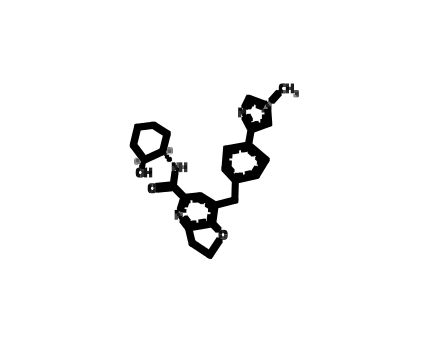 Cn1cnc(-c2ccc(Cc3cc(C(=O)N[C@H]4CCCC[C@@H]4O)nc4c3OCC4)cc2)c1